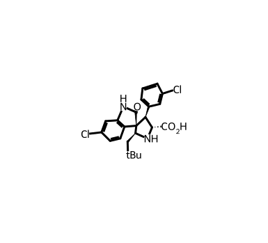 CC(C)(C)C[C@@H]1N[C@@H](C(=O)O)[C@H](c2cccc(Cl)c2)[C@]12C(=O)Nc1cc(Cl)ccc12